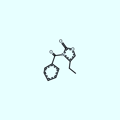 CCc1coc(=O)n1C(=O)c1ccccc1